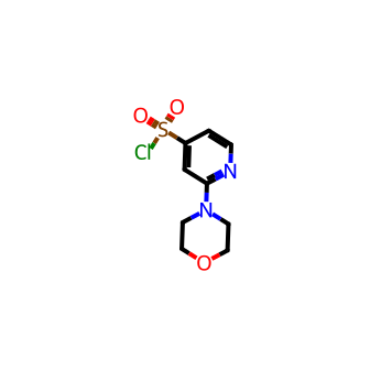 O=S(=O)(Cl)c1ccnc(N2CCOCC2)c1